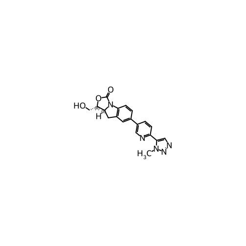 Cn1nncc1-c1ccc(-c2ccc3c(c2)C[C@H]2[C@H](CO)OC(=O)N32)cn1